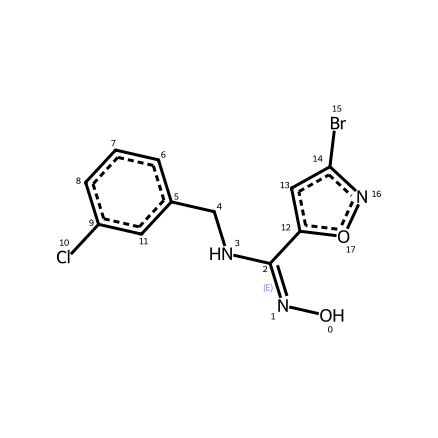 O/N=C(/NCc1cccc(Cl)c1)c1cc(Br)no1